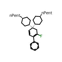 CCCCC[C@H]1CC[C@H](C2([C@H]3CC[C@H](CCCCC)CC3)C=CC(c3ccccc3)=C(F)C2)CC1